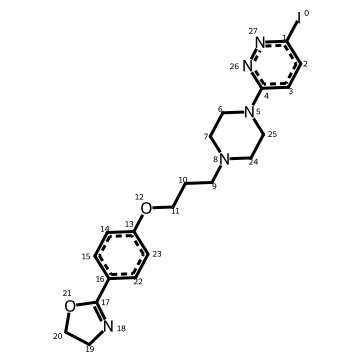 Ic1ccc(N2CCN(CCCOc3ccc(C4=NCCO4)cc3)CC2)nn1